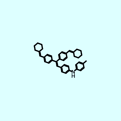 Cc1ccc(Nc2ccc(C=C(c3ccc(C=C4CCCCC4)cc3)c3ccc(C=C4CCCCC4)cc3)cc2)cc1